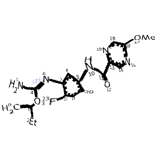 C=C(CC)O/C(N)=N\c1cc(NC(=O)c2cnc(OC)cn2)ccc1F